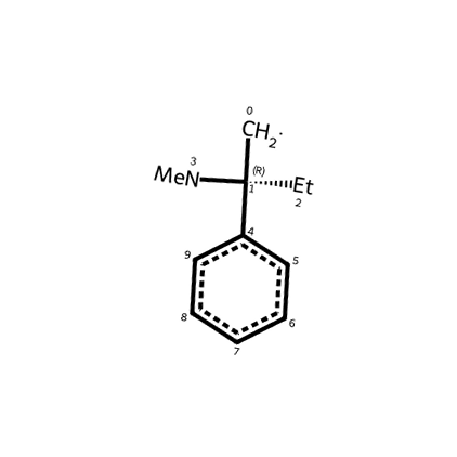 [CH2][C@](CC)(NC)c1ccccc1